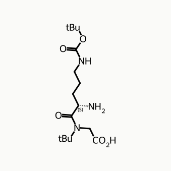 CC(C)(C)OC(=O)NCCC[C@H](N)C(=O)N(CC(=O)O)C(C)(C)C